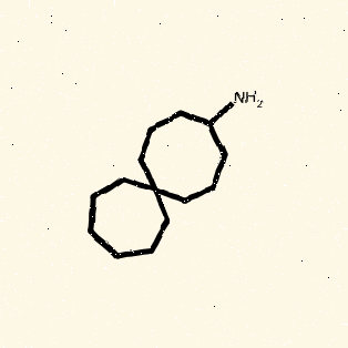 NC1CCCC2(CCCCCC2)CCC1